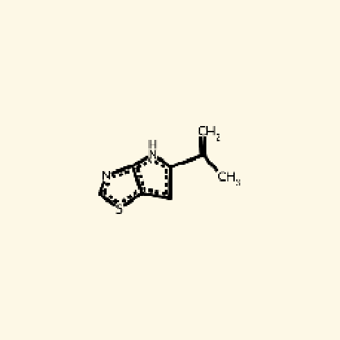 C=C(C)c1cc2scnc2[nH]1